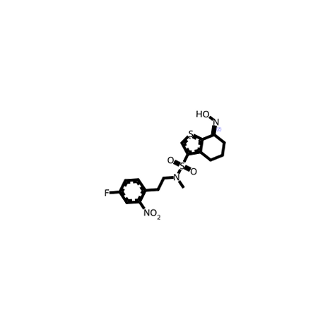 CN(CCc1ccc(F)cc1[N+](=O)[O-])S(=O)(=O)c1csc2c1CCC/C2=N/O